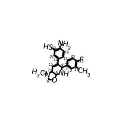 Cc1cc(C2NC3OCN(C)C3C=C2c2ccc(N)c(S)c2)ccc1F